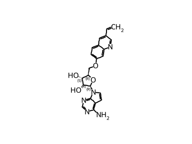 C=Cc1cnc2cc(OC[C@H]3O[C@@H](n4ccc5c(N)ncnc54)[C@H](O)[C@@H]3O)ccc2c1